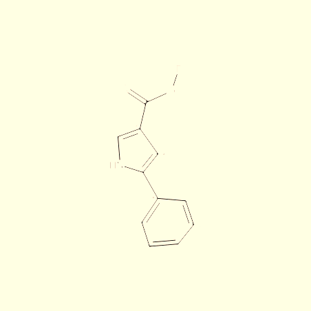 CCOC(=S)c1c[nH]c(-c2ccccc2)c1